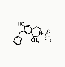 CC1CN(C(=O)C(F)(F)F)CCc2cc(O)c(Cc3ccccc3)cc21